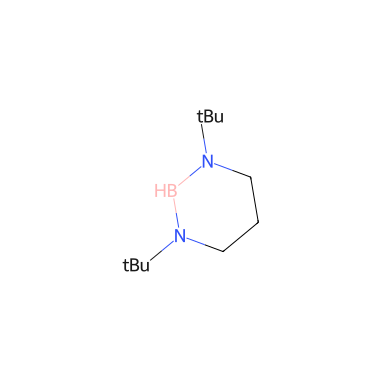 CC(C)(C)N1BN(C(C)(C)C)CCC1